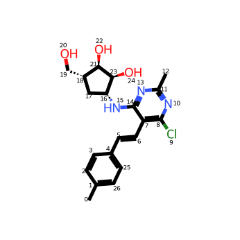 Cc1ccc(/C=C/c2c(Cl)nc(C)nc2N[C@@H]2C[C@H](CO)[C@@H](O)[C@H]2O)cc1